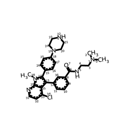 CN(C)CCNC(=O)c1cccc(-c2c(-c3ccc(N4CCNCC4)cc3)n(C)c3nccc(Cl)c23)c1